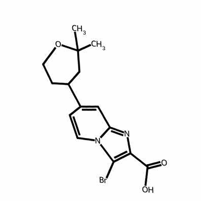 CC1(C)CC(c2ccn3c(Br)c(C(=O)O)nc3c2)CCO1